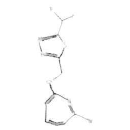 FC(F)c1nnc(COc2cccc(Br)n2)s1